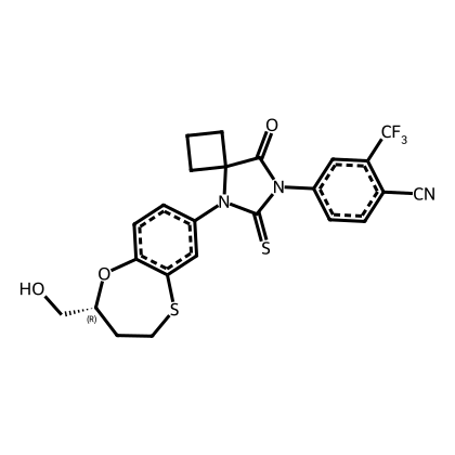 N#Cc1ccc(N2C(=O)C3(CCC3)N(c3ccc4c(c3)SCC[C@H](CO)O4)C2=S)cc1C(F)(F)F